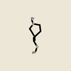 CC(C)O/C=C1\CCN(C(C)C)C1